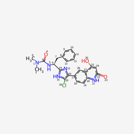 CN(C)C(=O)N[C@@H](Cc1ccccc1)c1nc(-c2ccc3[nH]c(=O)cc(O)c3c2)c(Cl)[nH]1